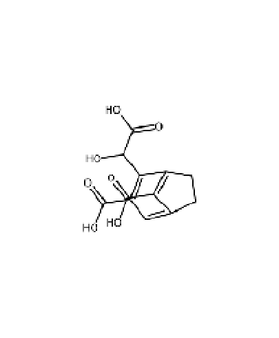 O=C(O)c1cc2c(C(=O)O)c(c1C(O)C(=O)O)CC2